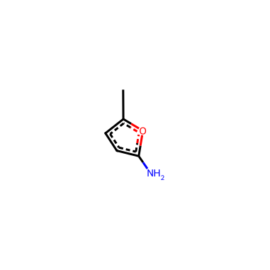 Cc1ccc(N)o1